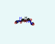 O=C(NCCN1CCOCC1)c1cccc(OBOc2cccc(C(=O)NCCN3CCOCC3)c2)c1